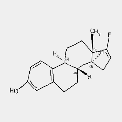 C[C@]12CC[C@@H]3c4ccc(O)cc4CC[C@H]3[C@@H]1CC=C2F